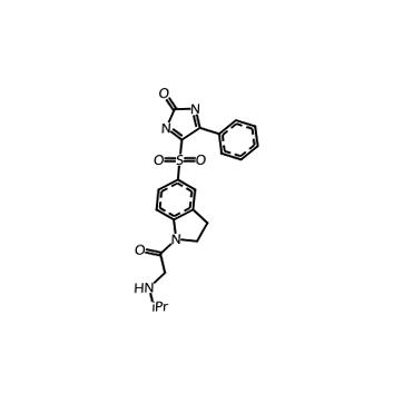 CC(C)NCC(=O)N1CCc2cc(S(=O)(=O)C3=NC(=O)N=C3c3ccccc3)ccc21